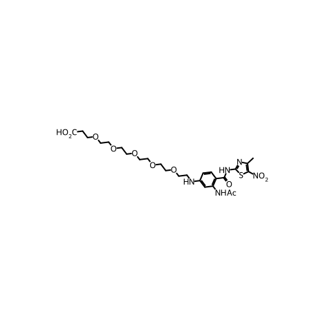 CC(=O)Nc1cc(NCCOCCOCCOCCOCCOCCC(=O)O)ccc1C(=O)Nc1nc(C)c([N+](=O)[O-])s1